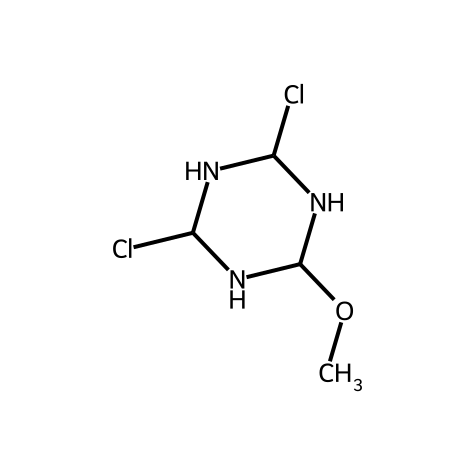 COC1NC(Cl)NC(Cl)N1